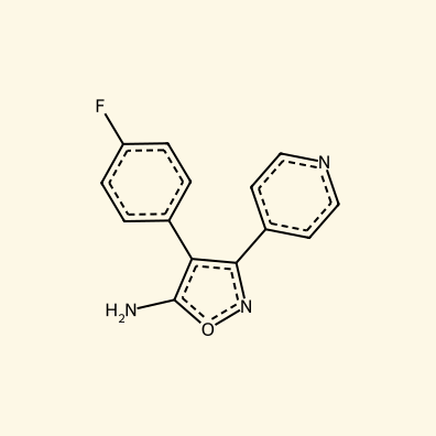 Nc1onc(-c2ccncc2)c1-c1ccc(F)cc1